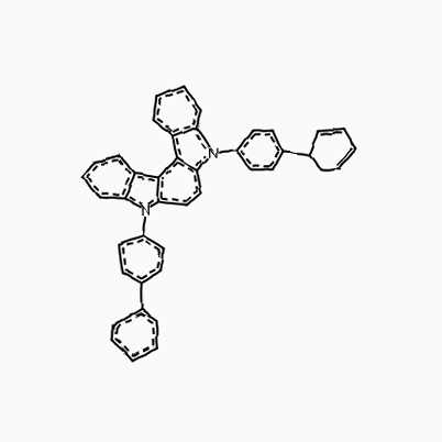 C1=CCC(c2ccc(-n3c4ccccc4c4c5c6ccccc6n(-c6ccc(-c7ccccc7)cc6)c5ccc43)cc2)C=C1